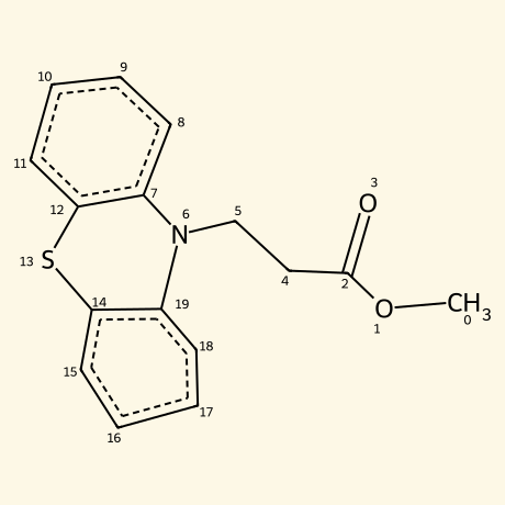 COC(=O)CCN1c2ccccc2Sc2ccccc21